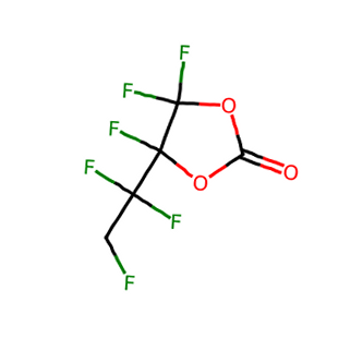 O=C1OC(F)(F)C(F)(C(F)(F)CF)O1